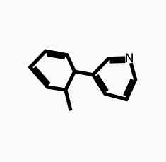 CC1C=CC=CC1c1cccnc1